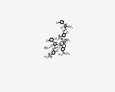 CC(C)c1ccc2c(c1)CC[C@H]1[C@](C)(CN)CCC[C@]21C.Cc1nn(-c2cccc(Cl)c2)c([O-])c1N=Nc1cc(S(C)(=O)=O)ccc1[O-].Cc1nn(-c2cccc(Cl)c2)c([O-])c1N=Nc1cc(S(C)(=O)=O)ccc1[O-].[Co+3].[H+]